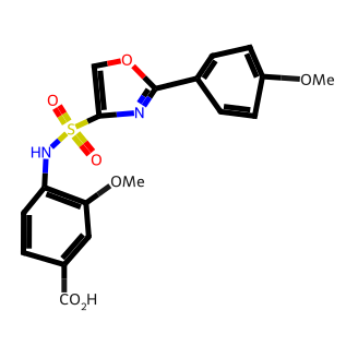 COc1ccc(-c2nc(S(=O)(=O)Nc3ccc(C(=O)O)cc3OC)co2)cc1